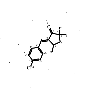 CC1CC(C)(C)C(=O)C1=Cc1ccc(Cl)cc1